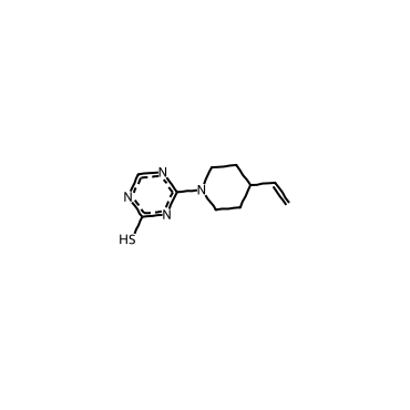 C=CC1CCN(c2ncnc(S)n2)CC1